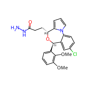 COc1cccc([C@H]2O[C@H](CCC(=O)NN)c3cccn3-c3ccc(Cl)cc32)c1OC